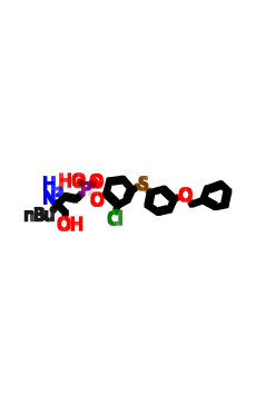 CCCCC(N)(C=CP(=O)(O)Oc1ccc(Sc2cccc(OCc3ccccc3)c2)cc1Cl)CO